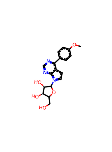 COc1ccc(-c2ncnc3c2ccn3C2OC(CO)[C@@H](O)[C@H]2O)cc1